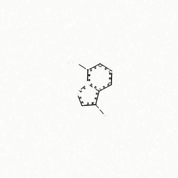 COc1cccc2c(C(C)C)cnn12